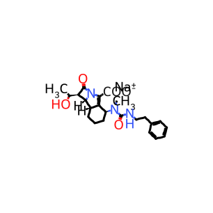 CC(O)[C@H]1C(=O)N2C(C(=O)[O-])=C3[C@H](CCC[C@@H]3N(C)C(=O)NCCc3ccccc3)[C@H]12.[Na+]